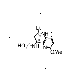 CC[C@@H]1C[C@H](NC(=O)O)c2nc(OC)ccc2N1